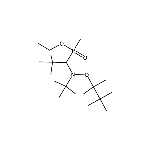 CCOP(C)(=O)C(N(OC(C)(C)C(C)(C)C)C(C)(C)C)C(C)(C)C